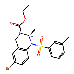 CCOC(=O)[C@@H]1Cc2cc(Br)ccc2N(S(=O)(=O)c2cccc(C)c2)[C@@H]1C